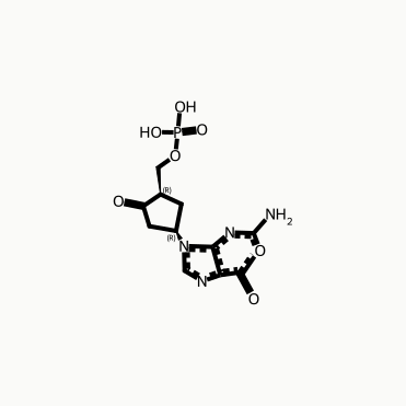 Nc1nc2c(ncn2[C@H]2CC(=O)[C@@H](COP(=O)(O)O)C2)c(=O)o1